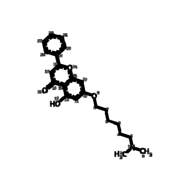 CN(C)CCCCCCOc1cc(O)c2c(=O)cc(-c3ccccc3)oc2c1